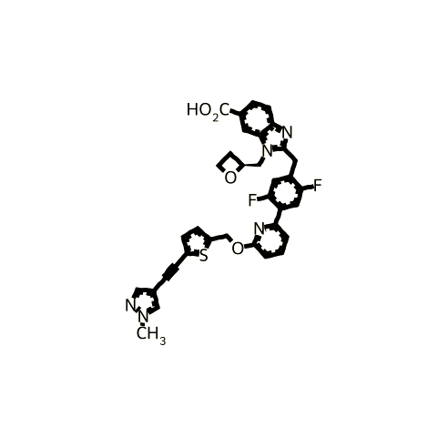 Cn1cc(C#Cc2ccc(COc3cccc(-c4cc(F)c(Cc5nc6ccc(C(=O)O)cc6n5C[C@@H]5CCO5)cc4F)n3)s2)cn1